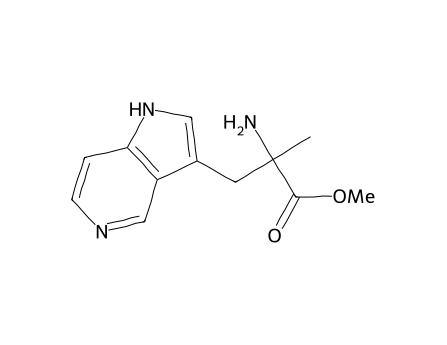 COC(=O)C(C)(N)Cc1c[nH]c2ccncc12